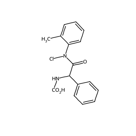 Cc1ccccc1N(Cl)C(=O)C(NC(=O)O)c1ccccc1